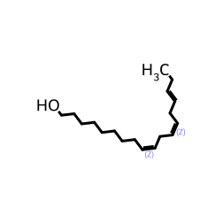 CCC=CC/C=C\C/C=C\CCCCCCCCO